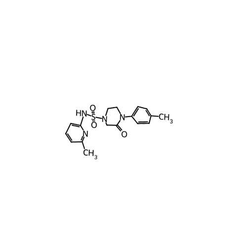 Cc1ccc(N2CCN(S(=O)(=O)Nc3cccc(C)n3)CC2=O)cc1